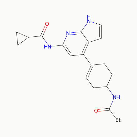 CCC(=O)NC1CC=C(c2cc(NC(=O)C3CC3)nc3[nH]ccc23)CC1